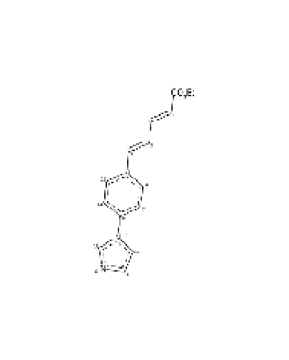 CCOC(=O)C=CC=Cc1ccc(-n2ccnc2)cc1